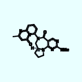 CNc1ncc2c(n1)N1CCC[C@H]1CN(c1cccc3nc(C)cc(=O)n13)C2=O